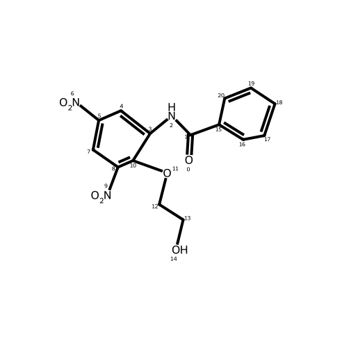 O=C(Nc1cc([N+](=O)[O-])cc([N+](=O)[O-])c1OCCO)c1ccccc1